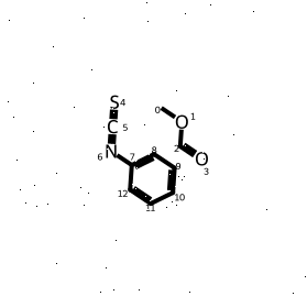 COC=O.S=C=Nc1ccccc1